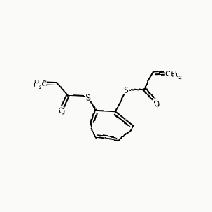 C=CC(=O)Sc1ccccc1SC(=O)C=C